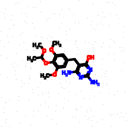 COc1cc(Cc2c(N)nc(N)nc2O)cc(OC)c1OC(C)OC